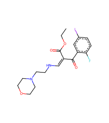 CCOC(=O)/C(=C\NCCN1CCOCC1)C(=O)c1cc(I)ccc1F